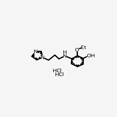 CCOc1c(O)cccc1NCCCn1ccnc1.Cl.Cl